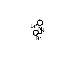 Brc1cccc2c1cnn2C1CCCCC1Br